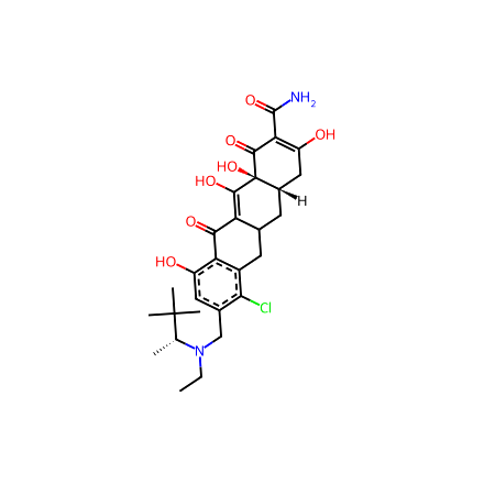 CCN(Cc1cc(O)c2c(c1Cl)CC1C[C@H]3CC(O)=C(C(N)=O)C(=O)[C@@]3(O)C(O)=C1C2=O)[C@H](C)C(C)(C)C